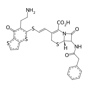 NCCc1c(SC=CC2=C(C(=O)O)N3C(=O)C(NC(=O)Cc4ccccc4)[C@@H]3SC2)sc2ccsc2c1=O